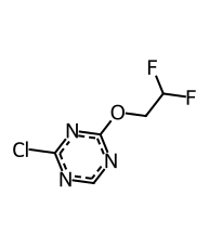 FC(F)COc1ncnc(Cl)n1